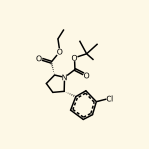 CCOC(=O)[C@H]1CC[C@@H](c2cccc(Cl)c2)N1C(=O)OC(C)(C)C